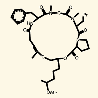 COC(C)CCCC1CC/C(C)=C\CC(=O)NC(Cc2ccccc2)C(=O)N(C)CC(=O)N(C)C(CC(C)C)C(=O)N2CCCC2C(=O)O1